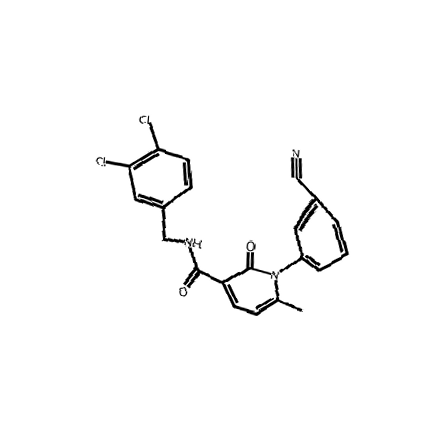 Cc1ccc(C(=O)NCc2ccc(Cl)c(Cl)c2)c(=O)n1-c1cccc(C#N)c1